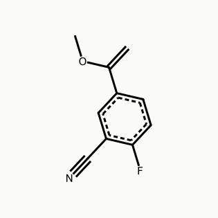 C=C(OC)c1ccc(F)c(C#N)c1